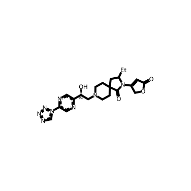 CCC1CC2(CCN(C[C@H](O)c3cnc(-n4cnnn4)cn3)CC2)C(=O)N1C1=CC(=O)OC1